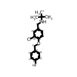 CC(C)(C)NCc1ccc(OCc2ccc(F)cc2)c(Cl)c1